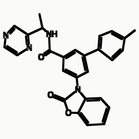 Cc1ccc(-c2cc(C(=O)NC(C)c3cnccn3)cc(-n3c(=O)oc4ccccc43)c2)cc1